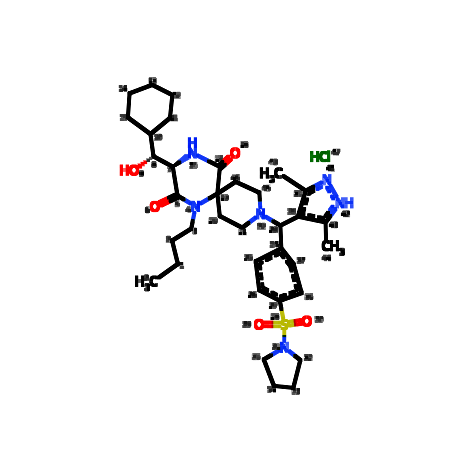 CCCCN1C(=O)[C@@H]([C@H](O)C2CCCCC2)NC(=O)C12CCN(C(c1ccc(S(=O)(=O)N3CCCC3)cc1)c1c(C)n[nH]c1C)CC2.Cl